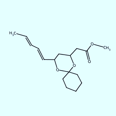 CC=CC=CC1CC(CC(=O)OC)OC2(CCCCC2)O1